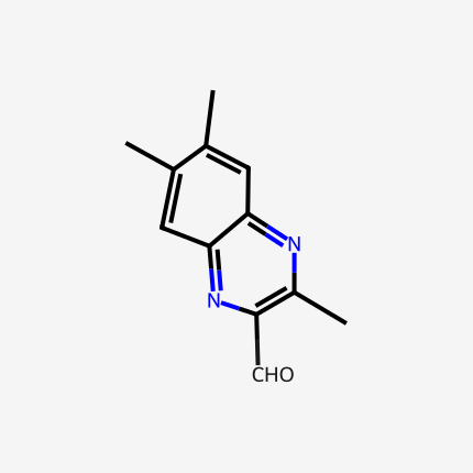 Cc1cc2nc(C)c(C=O)nc2cc1C